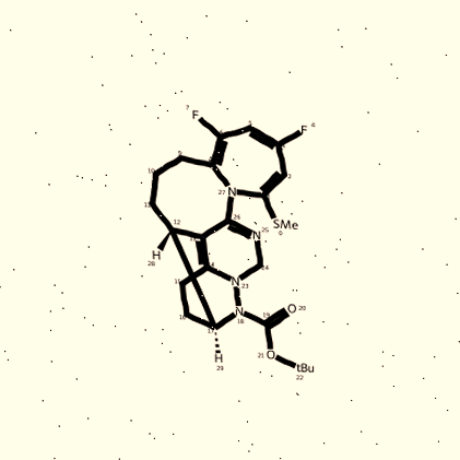 CSC1=CC(F)=CC(F)=C2CCC[C@@H]3C4=C5CC[C@@H]3N(C(=O)OC(C)(C)C)N5CN=C4N12